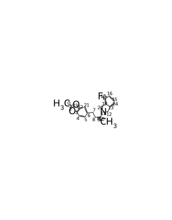 CC1Oc2ccc(CC[C@@H](C)N3Cc4cccc(F)c4C3)cc2O1